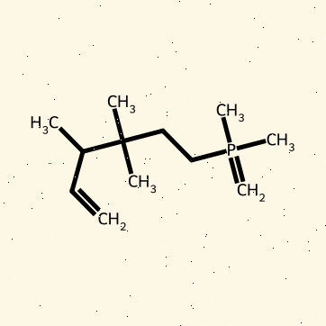 C=CC(C)C(C)(C)CCP(=C)(C)C